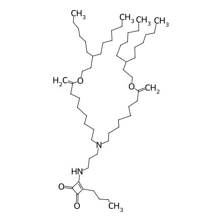 C=C(CCCCCCCN(CCCCCCCC(=C)OCCC(CCCCCC)CCCCCC)CCCNc1c(CCCC)c(=O)c1=O)OCCC(CCCCCC)CCCCCC